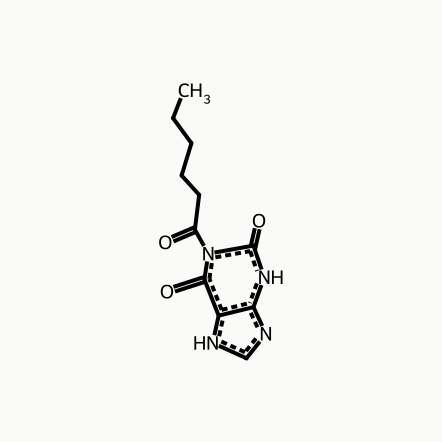 CCCCCC(=O)n1c(=O)[nH]c2nc[nH]c2c1=O